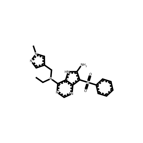 CCN(Cc1cnn(C)c1)c1ncnc2c(S(=O)(=O)c3ccccc3)c(N)[nH]c12